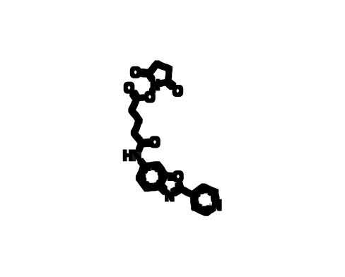 O=C(CCCC(=O)ON1C(=O)CCC1=O)Nc1ccc2nc(-c3ccncc3)oc2c1